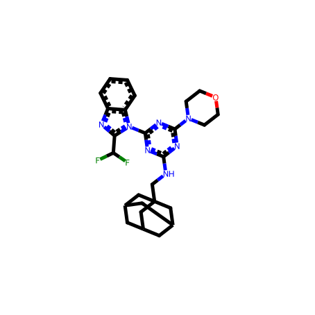 FC(F)c1nc2ccccc2n1-c1nc(NCC23CC4CC(CC(C4)C2)C3)nc(N2CCOCC2)n1